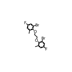 Cc1cc(F)cc(Br)c1OCCOc1c(C)cc(F)cc1Br